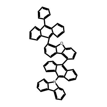 c1ccc(-c2c3ccccc3c(-c3cccc4c3oc3cccc(-c5c6ccccc6c(-n6c7ccccc7c7ccccc76)c6ccccc56)c34)c3ccccc23)cc1